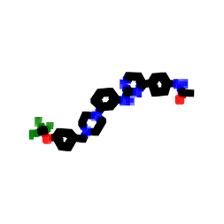 CC(=O)Nc1ccc(-c2ccnc(Nc3cccc(N4CCN(Cc5ccc(OC(F)(F)F)cc5)CC4)c3)n2)cc1